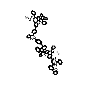 C=C1Cc2cc(-c3ccc(-c4nc(-c5ccc(-c6cccc7c6-c6ccccc6C76c7ccccc7Oc7c6ccc6c7-c7ccc(-c8cc(-c9cccc%10c9oc9ccccc9%10)nc(-c9ccccc9)n8)cc7C(=C)C6c6ccccc6)cc5)nc5ccccc45)cc3)ccc2-c2c(ccc3c2Oc2ccccc2C32c3ccccc3-c3ccccc32)C1c1ccccc1